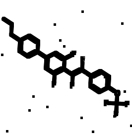 CCCc1ccc(-c2cc(F)c(/C(F)=C(\F)c3ccc(OC(F)(F)F)cc3)c(F)c2)cc1